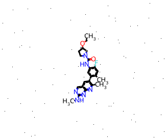 CCO[C@@H]1CCN(C(=O)Nc2cc(-c3cc4cnc(NC)nc4nc3C)c(C)cc2F)C1